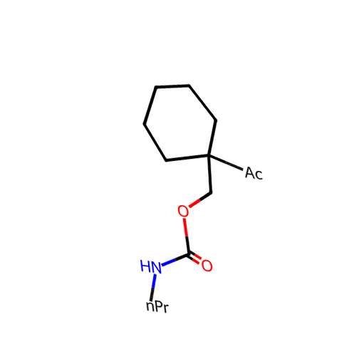 CCCNC(=O)OCC1(C(C)=O)CCCCC1